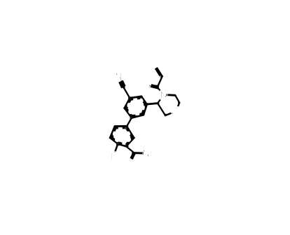 C=CC(=O)N1CCOCC1c1cc(C#N)cc(-c2ccc(F)c(C(N)=O)c2)c1